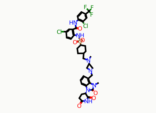 CN(CC1CCC(S(=O)(=O)Nc2ccc(Cl)cc2C(=O)Nc2ccc(C(F)(F)F)cc2Cl)CC1)C1CN(Cc2cccc3c2n(C)c(=O)n3C2CCC(=O)NC2=O)C1